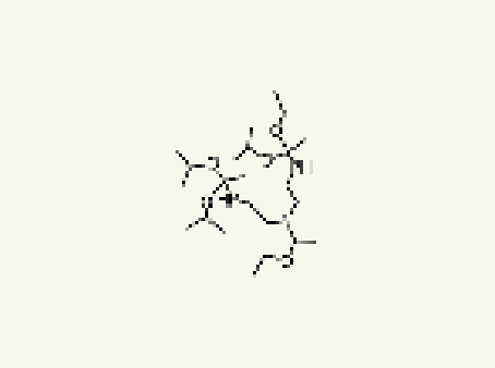 CCOC(C)N(CCPC(C)(OC(C)C)OC(C)C)CCPC(C)(OC(C)C)OC(C)C